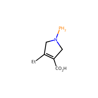 CCC1=C(C(=O)O)CN(P)C1